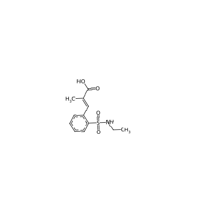 CCNS(=O)(=O)c1ccccc1C=C(C)C(=O)O